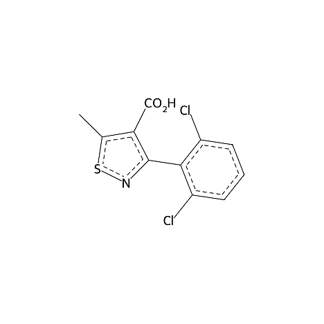 Cc1snc(-c2c(Cl)cccc2Cl)c1C(=O)O